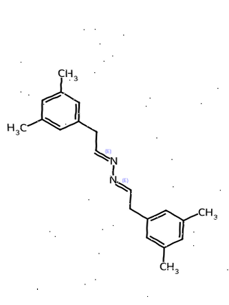 Cc1cc(C)cc(C/C=N/N=C/Cc2cc(C)cc(C)c2)c1